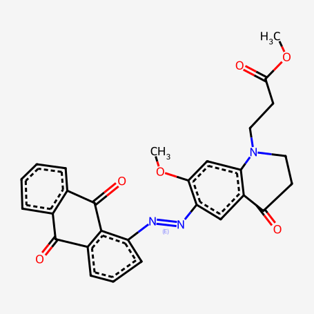 COC(=O)CCN1CCC(=O)c2cc(/N=N/c3cccc4c3C(=O)c3ccccc3C4=O)c(OC)cc21